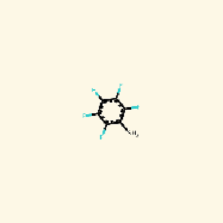 Fc1c(F)c(F)c([SiH3])c(F)c1F